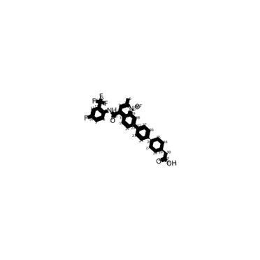 Cc1cc(C(=O)Nc2ccc(F)cc2C(F)(F)F)c2ccc(-c3ccc([C@H]4CC[C@H](CC(=O)O)CC4)cc3)cc2[n+]1[O-]